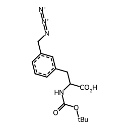 CC(C)(C)OC(=O)NC(Cc1cccc(CN=[N+]=[N-])c1)C(=O)O